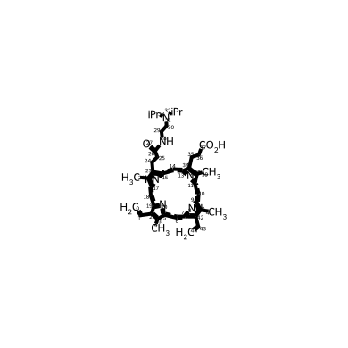 C=CC1=C(C)c2cc3[nH]c(cc4nc(cc5[nH]c(cc1n2)c(C)c5CCC(=O)NCCN(C(C)C)C(C)C)C(CCC(=O)O)=C4C)c(C)c3C=C